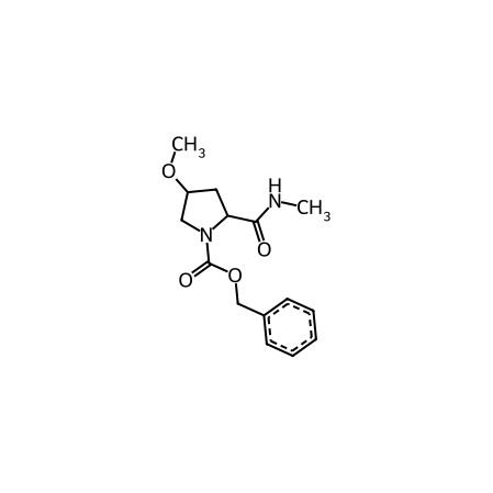 CNC(=O)C1CC(OC)CN1C(=O)OCc1ccccc1